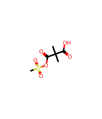 CC(C)(C(=O)O)C(=O)OS(C)(=O)=O